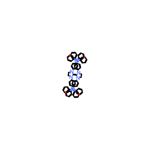 c1ccc(N(c2ccccc2)c2ccc(N3CCN(c4ccc(N(c5ccccc5)c5ccccc5)cc4)C3=C3N(c4ccc(N(c5ccccc5)c5ccccc5)cc4)CCN3c3ccc(N(c4ccccc4)c4ccccc4)cc3)cc2)cc1